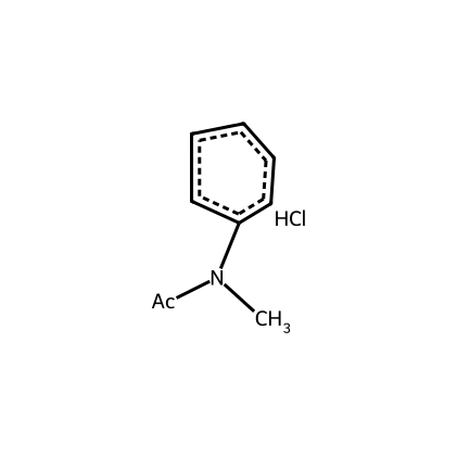 CC(=O)N(C)c1ccccc1.Cl